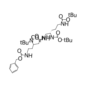 CC(C)(C)OC(=O)NCCC[C@@H](CNC(=O)CC(CCNC(=O)OCc1ccccc1)N(C(=O)O)C(C)(C)C)NC(=O)OC(C)(C)C